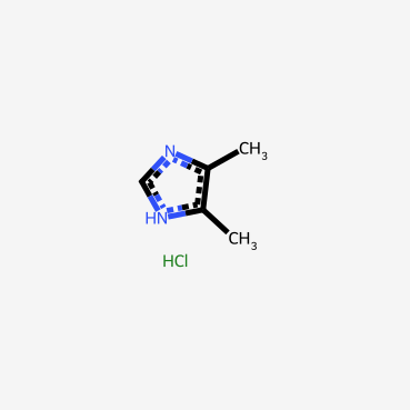 Cc1nc[nH]c1C.Cl